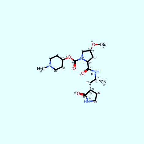 CN1CCC(OC(=O)N2C[C@H](OC(C)(C)C)CC2C(=O)N[C@H](C#N)C[C@@H]2CCNC2=O)CC1